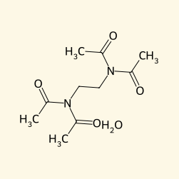 CC(=O)N(CCN(C(C)=O)C(C)=O)C(C)=O.O